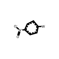 O=[N+]([O-])c1cc[c]([W])cc1